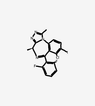 Cc1nnc2n1-c1ccc(I)c(Cl)c1C(c1c(F)cccc1F)=N[C@H]2C